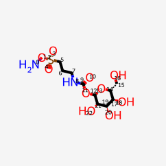 NOS(=O)(=O)CCCNC(=O)OC1O[C@H](CO)[C@@H](O)[C@H](O)[C@H]1O